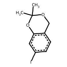 CC1(C)OCc2ccc(I)cc2O1